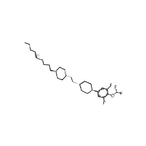 CCC/C=C/CCCC[C@H]1CC[C@H](CC[C@H]2CC[C@H](c3cc(F)c(OC(F)F)c(F)c3)CC2)CC1